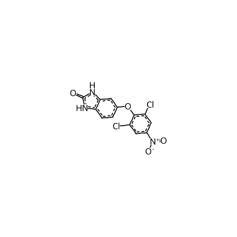 O=c1[nH]c2ccc(Oc3c(Cl)cc([N+](=O)[O-])cc3Cl)cc2[nH]1